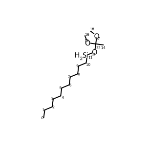 CCCCCCCCCCC[SiH2]OC(C)(OC)OC